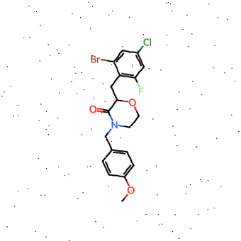 COc1ccc(CN2CCOC(Cc3c(F)cc(Cl)cc3Br)C2=O)cc1